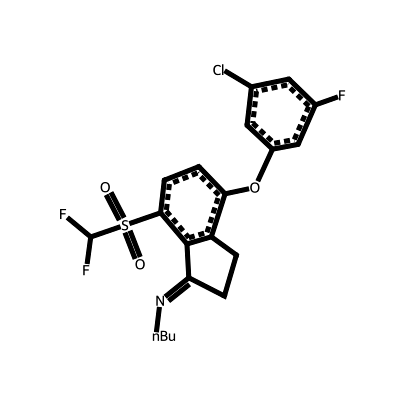 CCCCN=C1CCc2c(Oc3cc(F)cc(Cl)c3)ccc(S(=O)(=O)C(F)F)c21